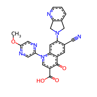 COc1cnc(-n2cc(C(=O)O)c(=O)c3cc(C#N)c(N4Cc5cccnc5C4)cc32)cn1